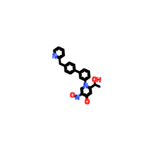 CC(O)c1cc(=O)c(N=O)cn1-c1cccc(-c2ccc(Cc3ccccn3)cc2)c1